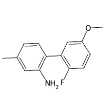 COc1ccc(F)c(-c2ccc(C)cc2N)c1